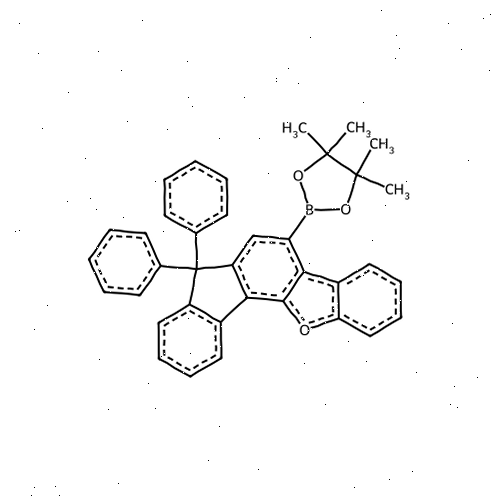 CC1(C)OB(c2cc3c(c4oc5ccccc5c24)-c2ccccc2C3(c2ccccc2)c2ccccc2)OC1(C)C